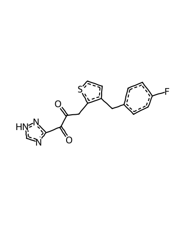 O=C(Cc1sccc1Cc1ccc(F)cc1)C(=O)c1nc[nH]n1